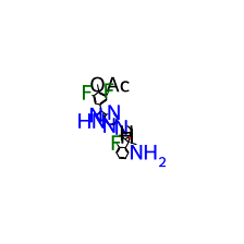 CC(=O)Oc1c(F)cc(-c2n[nH]c3nc(N4CC[C@@H]5[C@H](C4)[C@@]5(CN)c4ccccc4F)cnc23)cc1F